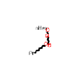 CCCCCCOCCOCCCC(=O)OCCCCCCCC(C)C